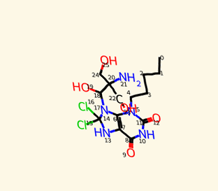 CCCCCn1c2c(c(=O)[nH]c1=O)NC(Cl)(Cl)N2C(O)C(N)(CO)CO